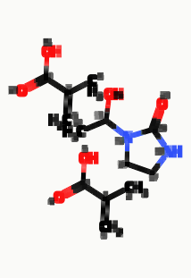 C=C(C)C(=O)O.C=C(C)C(=O)O.CC(O)N1CCNC1=O